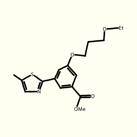 CCOCCCOc1cc(C(=O)OC)cc(-c2ncc(C)s2)c1